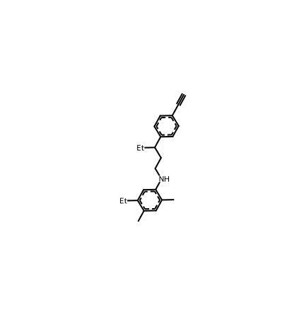 C#Cc1ccc(C(CC)CCNc2cc(CC)c(C)cc2C)cc1